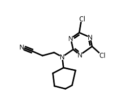 N#CCCN(c1nc(Cl)nc(Cl)n1)C1CCCCC1